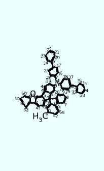 CC1C=C(C2(c3ccccc3)c3cc(N(c4ccc(-c5ccccc5)cc4)c4ccc(-c5ccccc5)cc4)ccc3-c3c2ccc2c3oc3ccccc32)C=CC1